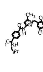 Cc1cc(NC(=O)c2ccc(C(C)NCC(C)C)cc2)nn1Cc1cc(Cl)ccc1OCC(C)C